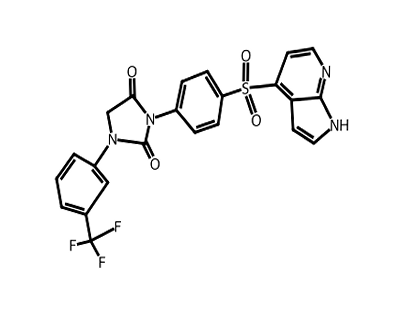 O=C1CN(c2cccc(C(F)(F)F)c2)C(=O)N1c1ccc(S(=O)(=O)c2ccnc3[nH]ccc23)cc1